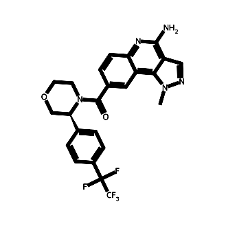 Cn1ncc2c(N)nc3ccc(C(=O)N4CCOC[C@@H]4c4ccc(C(F)(F)C(F)(F)F)cc4)cc3c21